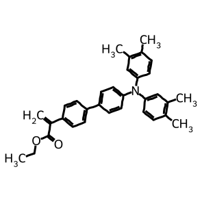 C=C(C(=O)OCC)c1ccc(-c2ccc(N(c3ccc(C)c(C)c3)c3ccc(C)c(C)c3)cc2)cc1